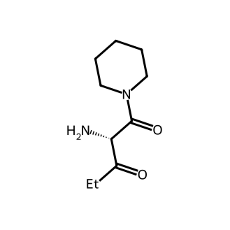 CCC(=O)[C@H](N)C(=O)N1CCCCC1